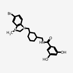 CN1CN(CC2CCCC(CNC(=O)c3cc(O)cc(O)c3)C2)c2ccc(Br)cc21